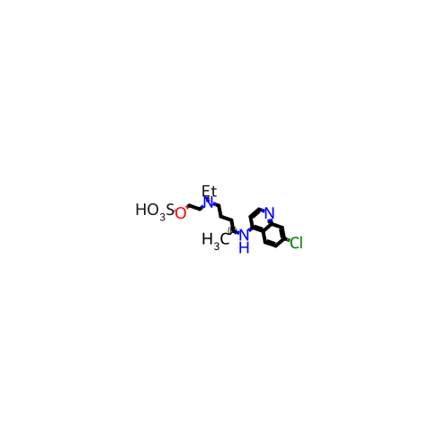 CCN(CCC[C@@H](C)Nc1ccnc2cc(Cl)ccc12)CCOS(=O)(=O)O